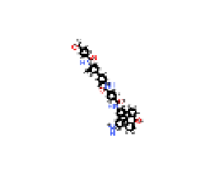 CNc1ccc(C2(c3ccc(NC(=O)c4ccc(C(=O)Nc5ccc(-c6ccc(NC(=O)c7ccc(C(C)=O)cc7)c(C)c6)cc5C)cc4)cc3)c3ccccc3C(=O)c3ccccc32)cc1